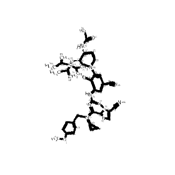 COc1ccc(CN(c2nc(Nc3cc(C#N)cc(N4CC[C@@H](NC(=O)O)[C@H](O[Si](C(C)C)(C(C)C)C(C)C)C4)c3Cl)nn3c(C#N)cnc23)C2CC2)cc1